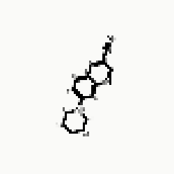 N#Cc1cnc2cc(N3CCCCC3)ccc2c1